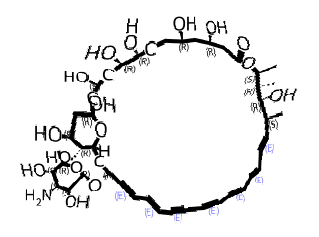 C[C@@H]1[C@H](O)[C@@H](C)/C=C/C=C/C=C/C=C/C=C/C=C/C=C/[C@H](O[C@@H]2O[C@H](C)[C@@H](O)[C@H](N)[C@@H]2O)C[C@@H]2O[C@](O)(C[C@@H](O)C[C@@H](O)[C@H](O)CC[C@@H](O)C[C@@H](O)CC(=O)O[C@H]1C)C[C@H](O)[C@H]2CO